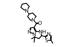 Cc1cnc(C2CC(C)(C)n3ncc(C(=O)N4CCC(N5CCCCC5)CC4)c3N2)s1